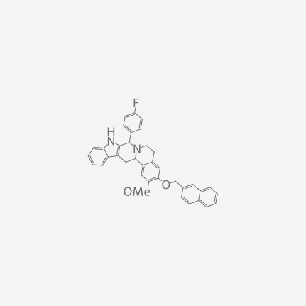 COc1cc2c(cc1OCc1ccc3ccccc3c1)CCN1C2Cc2c([nH]c3ccccc23)C1c1ccc(F)cc1